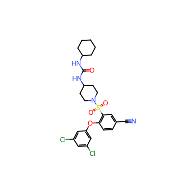 N#Cc1ccc(Oc2cc(Cl)cc(Cl)c2)c(S(=O)(=O)N2CCC(NC(=O)NC3CCCCC3)CC2)c1